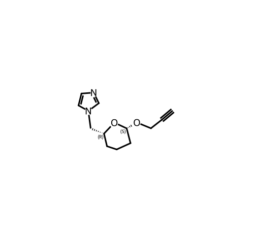 C#CCO[C@@H]1CCC[C@H](Cn2ccnc2)O1